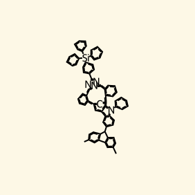 Cc1ccc2c(c1)-c1cc(C)ccc1C2c1ccc2c(c1)c1cc3cc(c4ccccc4c4nc(-c5ccc([Si](c6ccccc6)(c6ccccc6)c6ccccc6)cc5)nc(n4)c4ccccc34)c1n2-c1ccccc1